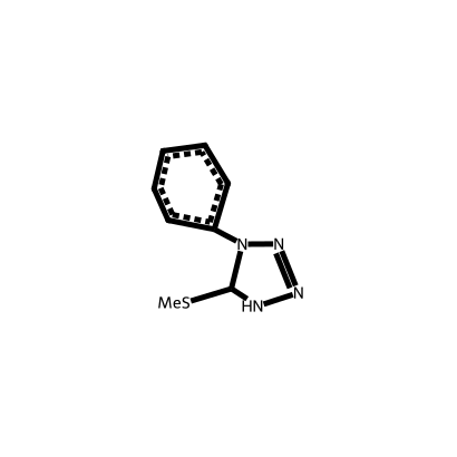 [CH2]SC1NN=NN1c1ccccc1